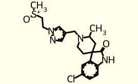 CC1CC2(CCN1Cc1cnn(CC[S+](C)[O-])c1)C(=O)Nc1ccc(Cl)cc12